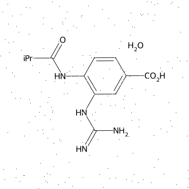 CC(C)C(=O)Nc1ccc(C(=O)O)cc1NC(=N)N.O